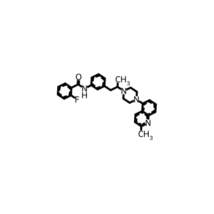 Cc1ccc2c(N3CCN(C(C)Cc4cccc(NC(=O)c5ccccc5F)c4)CC3)cccc2n1